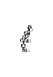 CC(C)(C)c1ccc(C(=O)Nc2cn3nc(-c4cnco4)ccc3n2)cc1